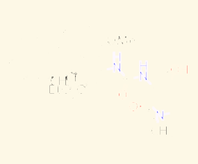 CCOC(=O)CC(NC(=O)Nc1c(O)ccn(C)c1=O)c1c(OC)ccc(-c2ccccc2C)c1C